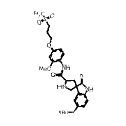 COc1cc(OCCCS(C)(=O)=O)ccc1NC(=O)C1CC2(CN1)C(=O)Nc1ccc(CC(C)(C)C)cc12